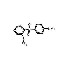 CNc1ccc(S(=O)(=O)c2ccccc2OC(F)(F)F)cc1